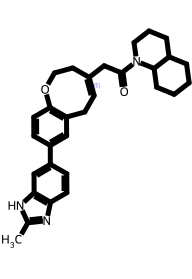 Cc1nc2ccc(-c3ccc4c(c3)C/C=C(/CC(=O)N3CCCC5CCCCC53)CCO4)cc2[nH]1